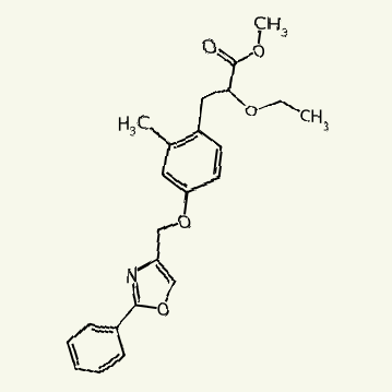 CCOC(Cc1ccc(OCc2coc(-c3ccccc3)n2)cc1C)C(=O)OC